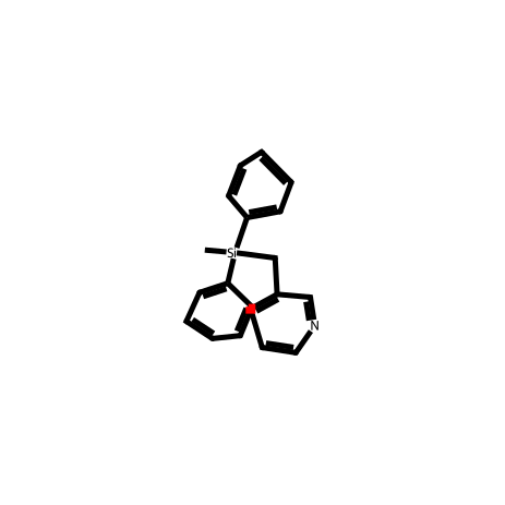 C[Si](Cc1cccnc1)(c1ccccc1)c1ccccc1